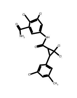 Cc1cc(Cl)cc(C2C(C(=O)Nc3cc(Cl)c(Cl)c(C(N)=O)c3)C2(Cl)Cl)c1